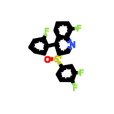 [O-][S+](c1ccc(F)c(F)c1)c1cnc2c(F)cccc2c1-c1ccccc1F